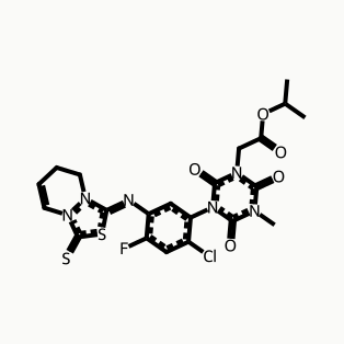 CC(C)OC(=O)Cn1c(=O)n(C)c(=O)n(-c2cc(N=c3sc(=S)n4n3CCC=C4)c(F)cc2Cl)c1=O